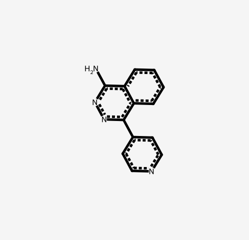 Nc1nnc(-c2ccncc2)c2ccccc12